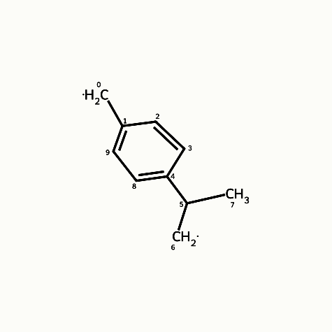 [CH2]c1ccc(C([CH2])C)cc1